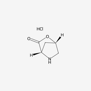 Cl.O=C1O[C@@H]2CN[C@H]1C2